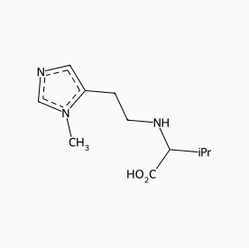 CC(C)C(NCCc1cncn1C)C(=O)O